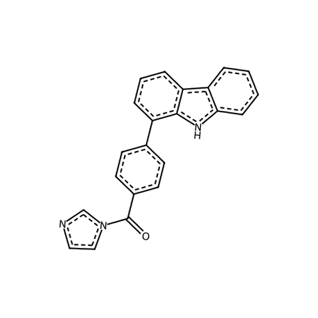 O=C(c1ccc(-c2cccc3c2[nH]c2ccccc23)cc1)n1ccnc1